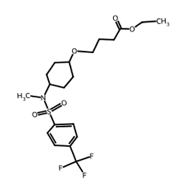 CCOC(=O)CCCOC1CCC(N(C)S(=O)(=O)c2ccc(C(F)(F)F)cc2)CC1